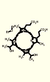 CC1=C(CCC(=O)O)c2cc3[nH]c(cc4nc(cc5[nH]c(cc1n2)c(C(C)O)c5C)C(C(C)O)=C4C)c(C)c3CCC(=O)O.CCOCC